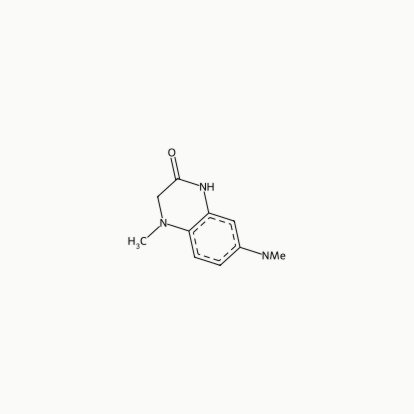 CNc1ccc2c(c1)NC(=O)CN2C